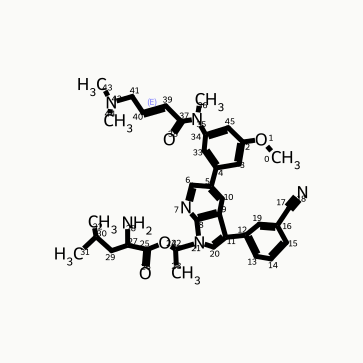 COc1cc(-c2cnc3c(c2)c(-c2cccc(C#N)c2)cn3C(C)OC(=O)C(N)CC(C)C)cc(N(C)C(=O)/C=C/CN(C)C)c1